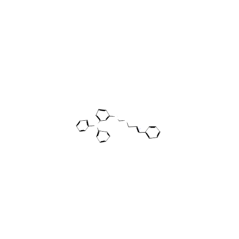 C(=C\c1ccccc1)/COCOc1cccc([SH](c2ccccc2)c2ccccc2)c1